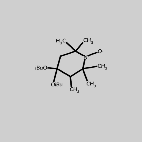 CC(C)COC1(OCC(C)C)CC(C)(C)N([O])C(C)(C)C1C